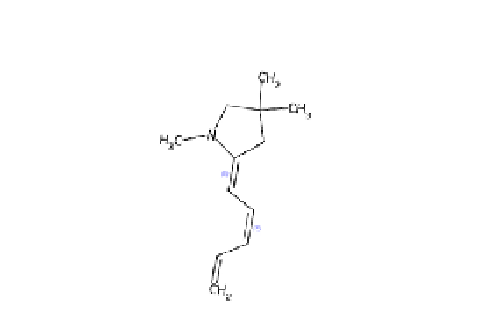 C=C/C=C\C=C1/CC(C)(C)CN1C